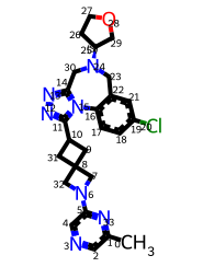 Cc1cncc(N2CC3(CC(c4nnc5n4-c4ccc(Cl)cc4CN([C@H]4CCOC4)C5)C3)C2)n1